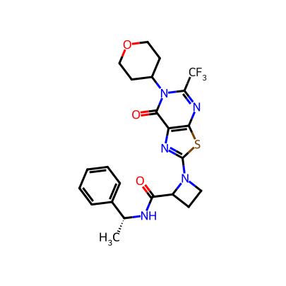 C[C@@H](NC(=O)C1CCN1c1nc2c(=O)n(C3CCOCC3)c(C(F)(F)F)nc2s1)c1ccccc1